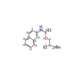 CCCCC(CC)COC(CC)Nc1ccc2ccccc2c1